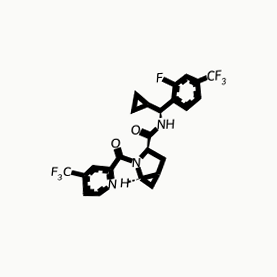 O=C(N[C@@H](c1ccc(C(F)(F)F)cc1F)C1CC1)[C@H]1CC2C[C@H]2N1C(=O)c1cc(C(F)(F)F)ccn1